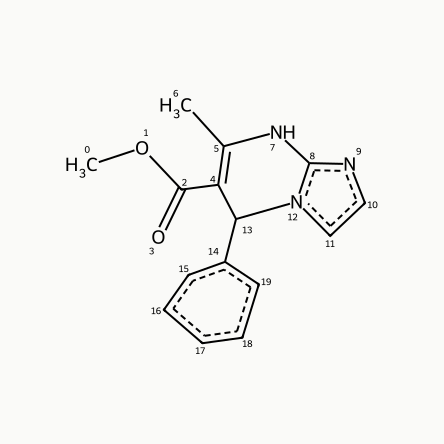 COC(=O)C1=C(C)Nc2nccn2C1c1ccccc1